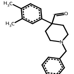 Cc1ccc(C2([C]=O)CCN(Cc3ccccc3)CC2)cc1C